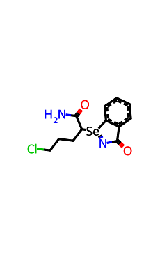 NC(=O)C(CCCCl)[Se]1=NC(=O)c2ccccc21